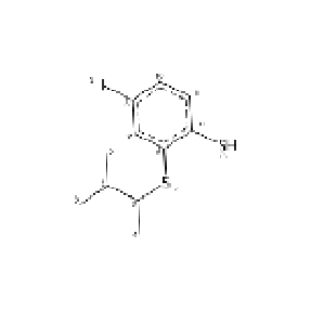 CC(C)C(C)Sc1cc(I)ccc1S